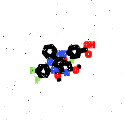 COc1ccc(C2(C(C(=O)Nc3ccc(C(=O)O)cc3F)C3CCCCC3)Nc3cc(F)c(F)cc3N2)c(OC)n1